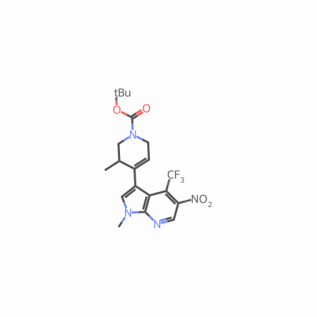 CC1CN(C(=O)OC(C)(C)C)CC=C1c1cn(C)c2ncc([N+](=O)[O-])c(C(F)(F)F)c12